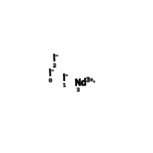 [I-].[I-].[I-].[Nd+3]